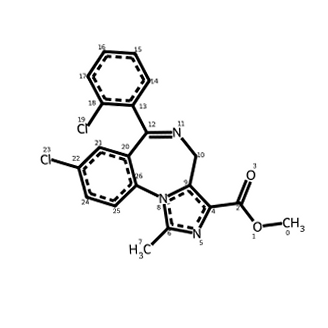 COC(=O)c1nc(C)n2c1CN=C(c1ccccc1Cl)c1cc(Cl)ccc1-2